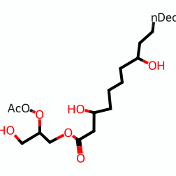 CCCCCCCCCCCCC(O)CCCCC(O)CC(=O)OCC(CO)OOC(C)=O